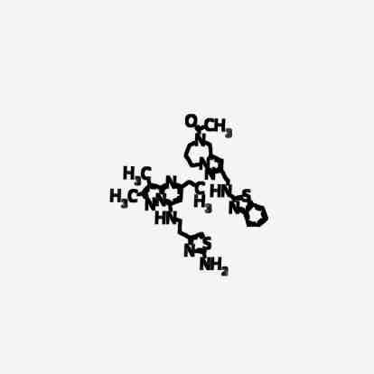 CC(=O)N1CCCn2nc(CNc3nc4ccccc4s3)cc2C1.CCc1cc(NCCc2csc(N)n2)n2nc(C)c(C)c2n1